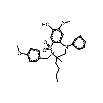 CCCCC1(C)CN(c2ccccc2)c2cc(SC)c(O)cc2S(=O)(=O)N1Cc1ccc(OC)cc1